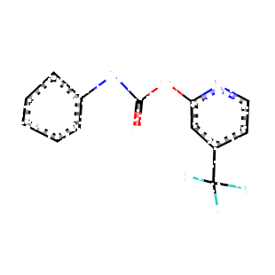 O=C(Nc1ccccc1)Oc1cc(C(F)(F)F)ccn1